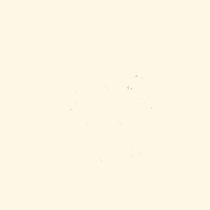 N#C/C(c1nc2ccccc2s1)=c1\c2c(C3CCCCC3)n(B(c3ccccc3)c3ccccc3)/c(=C(/C#N)c3nc4ccccc4s3)c2c(-c2cccc(OS(=O)(=O)C(F)(F)C(F)(F)C(F)(F)S(=O)(=O)NS(=O)(=O)C(F)(F)F)c2)n1B(c1ccccc1)c1ccccc1